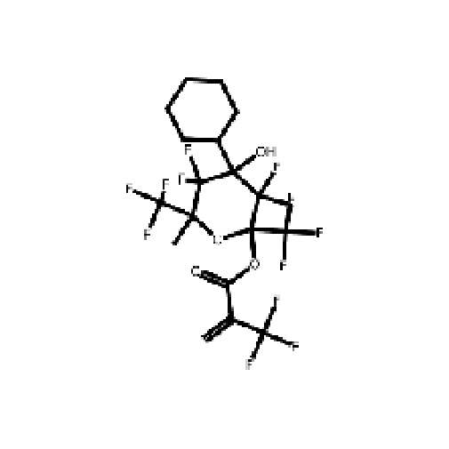 C=C(C(=O)OC1(C(F)(F)F)OC(C)(C(F)(F)F)C(F)(F)C(O)(C2CCCCC2)C1(F)F)C(F)(F)F